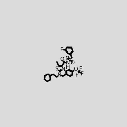 Cc1sc(N(CCC2CCCCC2)Cc2ccc(OC(F)(F)F)cc2)nc1C(=O)NS(=O)(=O)Cc1cccc(F)c1